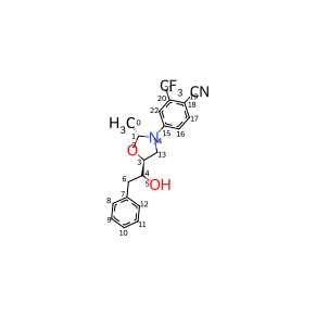 C[C@H]1O[C@H](C(O)Cc2ccccc2)CN1c1ccc(C#N)c(C(F)(F)F)c1